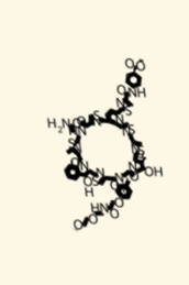 COCCOCCNC(=O)COc1ccc(C[C@@H]2NC(=O)c3csc(n3)C([C@H](O)c3ccccc3)NC(=O)c3nc(sc3C)[C@H](CC(N)=O)NC(=O)c3csc(n3)-c3ccc(-c4nc(C(=O)N[C@H]5CC[C@H](C(=O)OC)CC5)cs4)nc3-c3csc(n3)-c3csc(n3)[C@@H]3[C@@H](C)[C@@H](O)CN3C2=O)cc1